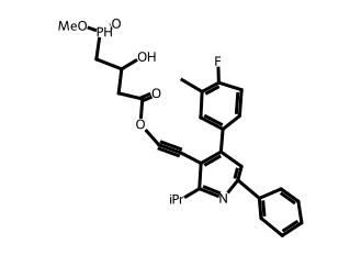 CO[PH](=O)CC(O)CC(=O)OC#Cc1c(-c2ccc(F)c(C)c2)cc(-c2ccccc2)nc1C(C)C